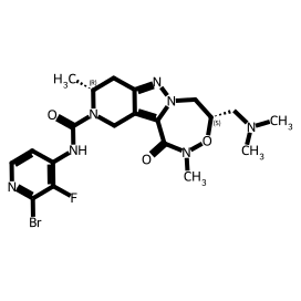 C[C@@H]1Cc2nn3c(c2CN1C(=O)Nc1ccnc(Br)c1F)C(=O)N(C)O[C@@H](CN(C)C)C3